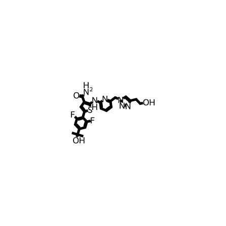 CC(C)(O)c1cc(F)c(-c2cc(C(N)=O)c(Nc3cccc(Cn4cc(CCO)nn4)n3)s2)c(F)c1